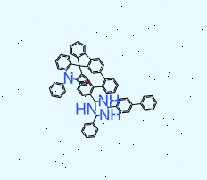 c1ccc(-c2ccc(C3NC(c4ccccc4)NC(c4ccccc4-c4ccccc4-c4ccc5c(c4)C4(c6ccccc6-5)c5ccccc5N(c5ccccc5)c5ccccc54)N3)cc2)cc1